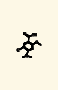 COc1cc(N(C)C)c(Cl)cc1C(=O)O